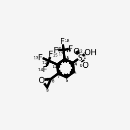 O=S(=O)(O)c1ccc(C2CO2)c(C(F)(F)F)c1C(F)(F)F